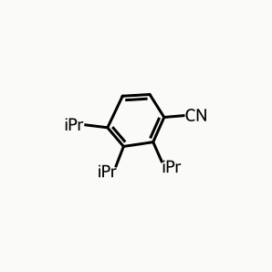 CC(C)c1ccc(C#N)c(C(C)C)c1C(C)C